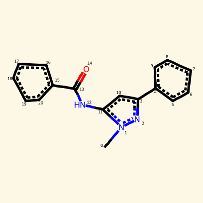 Cn1nc(-c2ccccc2)cc1NC(=O)c1ccccc1